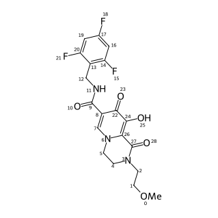 COCCN1CCn2cc(C(=O)NCc3c(F)cc(F)cc3F)c(=O)c(O)c2C1=O